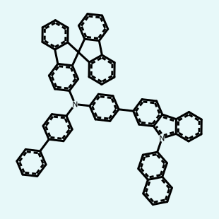 c1ccc(-c2ccc(N(c3ccc(-c4ccc5c6ccccc6n(-c6ccc7ccccc7c6)c5c4)cc3)c3ccc4c(c3)C3(c5ccccc5-c5ccccc53)c3ccccc3-4)cc2)cc1